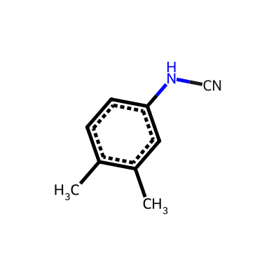 Cc1ccc(NC#N)cc1C